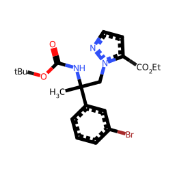 CCOC(=O)c1ccnn1CC(C)(NC(=O)OC(C)(C)C)c1cccc(Br)c1